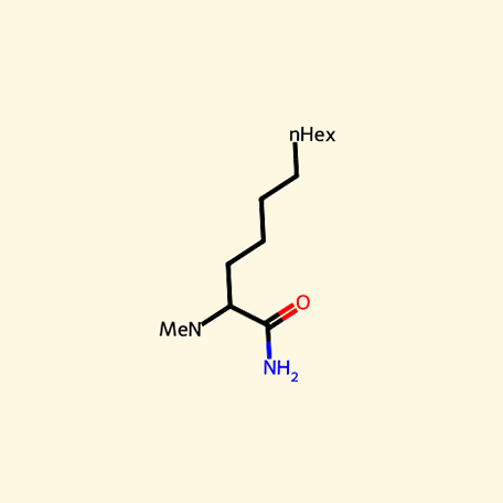 CCCCCCCCCCC(NC)C(N)=O